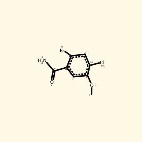 COc1cc(C(N)=O)c(Br)cc1Cl